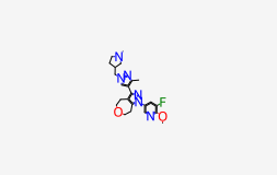 COc1ncc(-n2nc(-c3cn(CC4CCN(C)C4)nc3C)c3c2CCOCC3)cc1F